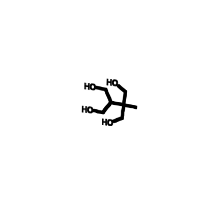 CC(CO)(CO)C(CO)CO